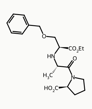 CCOC(=O)[C@H](COCc1ccccc1)N[C@@H](C)C(=O)N1CCC[C@H]1C(=O)O